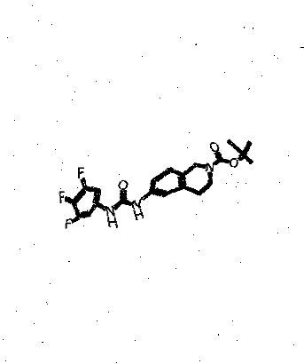 CC(C)(C)OC(=O)N1CCc2cc(NC(=O)Nc3cc(F)c(F)c(F)c3)ccc2C1